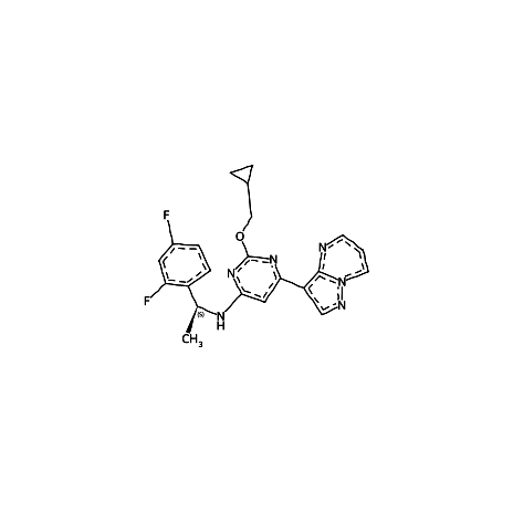 C[C@H](Nc1cc(-c2cnn3cccnc23)nc(OCC2CC2)n1)c1ccc(F)cc1F